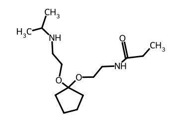 CCC(=O)NCCOC1(OCCNC(C)C)CCCC1